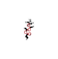 C=CC(=O)OC(C)OC(C)O[Si](C)(C)C